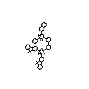 CC1(C)c2ccccc2-c2ccc(-c3nc(-c4cccc(-c5cccc(-c6cc(-c7ccc8ccccc8c7)nc(-c7ccccc7)n6)c5)c4)nc(-c4ccc5c(c4)C(C)(C)c4ccccc4-5)n3)cc21